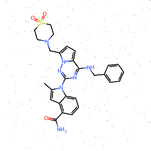 Cc1cc2c(C(N)=O)cccc2n1-c1nc(NCc2ccccc2)c2ccc(CN3CCS(=O)(=O)CC3)n2n1